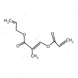 C=CCOC(=O)C(C)=COC(=O)C=C